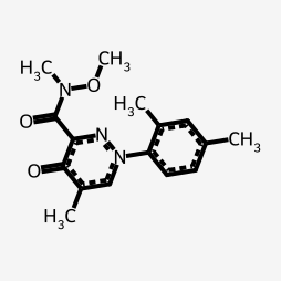 CON(C)C(=O)c1nn(-c2ccc(C)cc2C)cc(C)c1=O